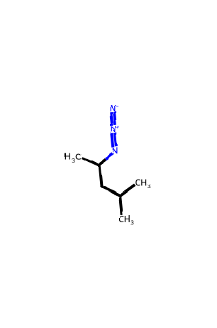 CC(C)CC(C)N=[N+]=[N-]